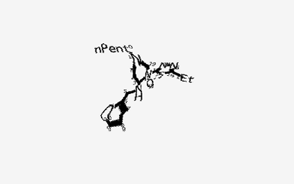 CCCCCN1CC(NCc2ccco2)[N+]([O-])(c2nnc(CC)s2)C1